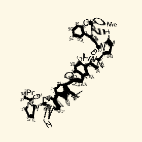 COC(=O)N[C@@H](C(=O)n1cccc1-c1ncc(-c2ccc3oc(-c4ccc(-c5c[nH]c([C@@H]6CCCN6C(=O)[CH]C(C)C)n5)cc4F)cc3c2)[nH]1)c1ccccc1